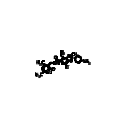 Cc1cc(C)c(CNC(=O)c2cc(Cl)c3c(c2C)OC(C)([C@H]2CC[C@H](N)CC2)O3)c(=O)[nH]1